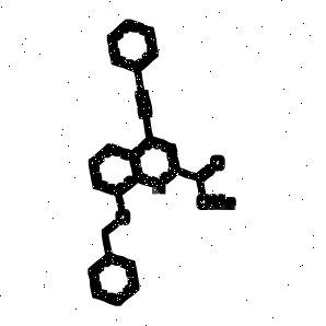 COC(=O)c1cc(C#Cc2ccccc2)c2cccc(OCc3ccccc3)c2n1